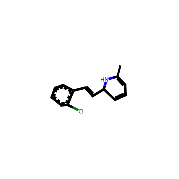 CC1=[C]C=CC(C=Cc2ccccc2Cl)N1